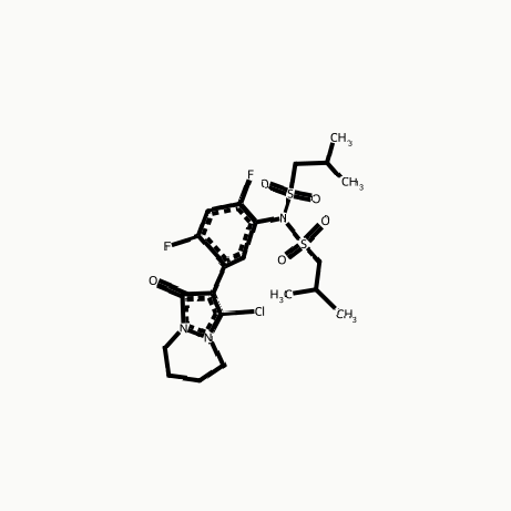 CC(C)CS(=O)(=O)N(c1cc(-c2c(Cl)n3n(c2=O)CCCC3)c(F)cc1F)S(=O)(=O)CC(C)C